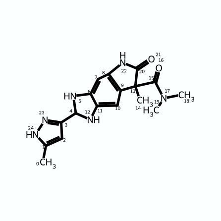 Cc1cc(C2Nc3cc4c(cc3N2)C(C)(C(=O)N(C)C)C(=O)N4)n[nH]1